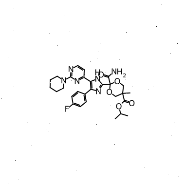 CC(C)OC(=O)C1(C)COC(C(N)=O)(c2nc(-c3ccc(F)cc3)c(-c3ccnc(N4CCCCC4)n3)[nH]2)OC1